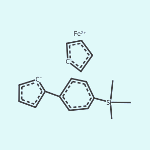 C[Si](C)(C)c1ccc(-c2ccc[cH-]2)cc1.[Fe+2].c1cc[cH-]c1